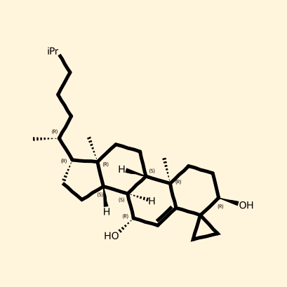 CC(C)CCC[C@@H](C)[C@H]1CC[C@H]2[C@@H]3[C@@H](O)C=C4C5(CC5)[C@H](O)CC[C@]4(C)[C@H]3CC[C@]12C